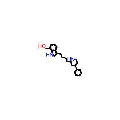 OCc1cccc2c(CCCCC3CC(c4ccccc4)=CCN3)c[nH]c12